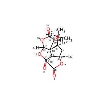 CC(C)(C)[C@@]12C[C@@H]3OC(=O)C[C@@]34C(=O)O[C@@H]3OC(=O)[C@H](O1)[C@@]342